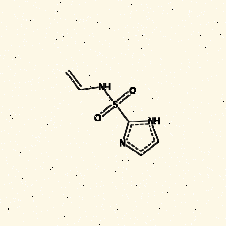 C=CNS(=O)(=O)c1ncc[nH]1